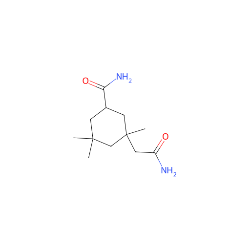 CC1(C)CC(C(N)=O)CC(C)(CC(N)=O)C1